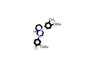 COc1ccc([C@H]2CCC[C@H]3CN(c4ccc(Cl)c(OC)c4)CCN32)cc1C